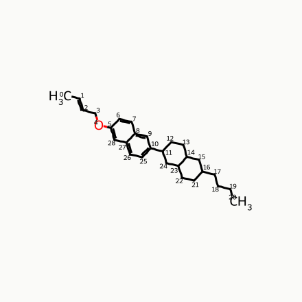 CC=CCOc1ccc2cc(C3CCC4CC(CCCC)CCC4C3)ccc2c1